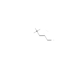 CC(C)(O)C[C@H](N)CO